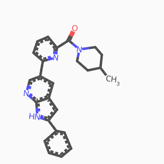 CC1CCN(C(=O)c2cccc(-c3cnc4[nH]c(-c5ccccc5)cc4c3)n2)CC1